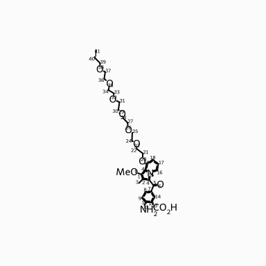 COc1c(C)c(C(=O)c2ccc(N)c(C(=O)O)c2)n2cccc(OCCOCCOCCOCCOCCOCCOCCI)c12